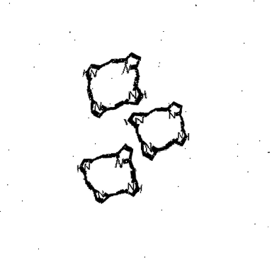 C1=Cc2cc3ccc(cc4nc(cc5ccc(cc1n2)[nH]5)C=C4)[nH]3.C1=Cc2cc3ccc(cc4nc(cc5ccc(cc1n2)[nH]5)C=C4)[nH]3.C1=Cc2cc3ccc(cc4nc(cc5ccc(cc1n2)[nH]5)C=C4)[nH]3